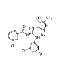 CCn1nc(C(F)(F)F)c(C)c1N/C(=N\C(=O)c1cccc(Cl)c1)Nc1cc(F)cc(Cl)c1